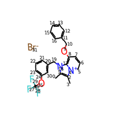 Cc1c(C)[n+]2cccc(OCc3ccccc3)c2n1Cc1cccc(OC(F)(F)F)c1.[Br-]